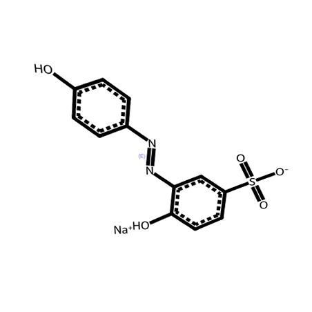 O=S(=O)([O-])c1ccc(O)c(/N=N/c2ccc(O)cc2)c1.[Na+]